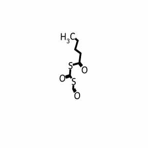 CCCCC(=O)SC(=O)SC=O